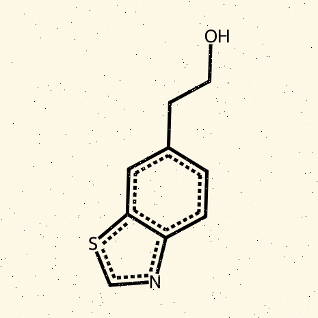 OCCc1ccc2ncsc2c1